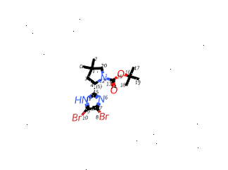 CC1(C)C[C@@H](c2nc(Br)c(Br)[nH]2)N(C(=O)OC(C)(C)C)C1